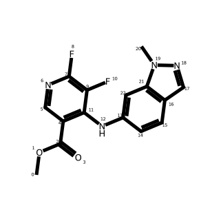 COC(=O)c1cnc(F)c(F)c1Nc1ccc2cnn(C)c2c1